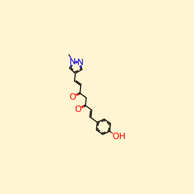 Cn1cc(/C=C/C(=O)CC(=O)/C=C/c2ccc(O)cc2)cn1